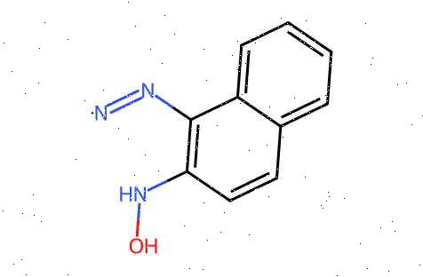 [N]=Nc1c(NO)ccc2ccccc12